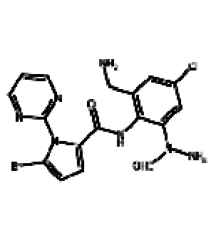 NCc1cc(Cl)cc(N(N)C=O)c1NC(=O)c1ccc(Br)n1-c1ncccn1